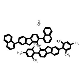 Cc1cc(C)c(-c2ccc3c(c2)Cc2c-3ccc(-c3c(C)cc(C)cc3C)[c]2[Hf+2][c]2c(-c3cccc4ccccc34)ccc3c2Cc2cc(-c4cccc5ccccc45)ccc2-3)c(C)c1.[Cl-].[Cl-]